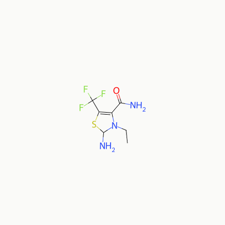 CCN1C(C(N)=O)=C(C(F)(F)F)SC1N